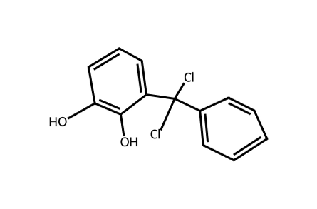 Oc1cccc(C(Cl)(Cl)c2ccccc2)c1O